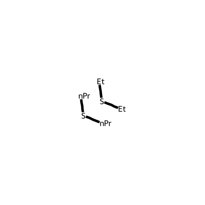 CCCSCCC.CCSCC